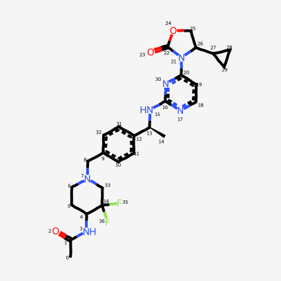 CC(=O)NC1CCN(Cc2ccc([C@H](C)Nc3nccc(N4C(=O)OCC4C4CC4)n3)cc2)CC1(F)F